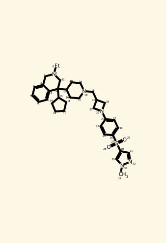 CCN1Cc2ccccc2C(C2CCCC2)(C2CCN(CC3CN(c4ccc(S(=O)(=O)c5cnn(C)c5)cc4)C3)CC2)C1